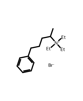 CC[N+](CC)(CC)C(C)CCCc1ccccc1.[Br-]